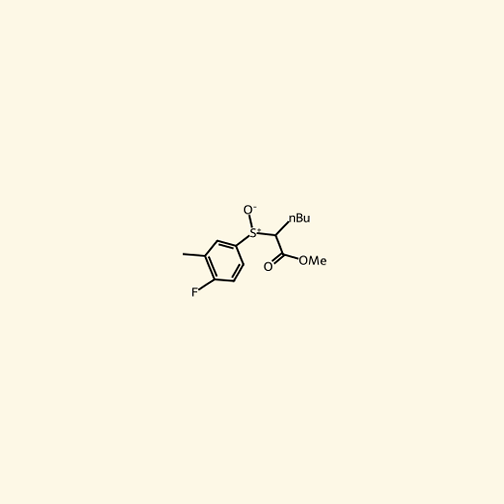 CCCCC(C(=O)OC)[S+]([O-])c1ccc(F)c(C)c1